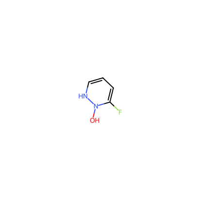 ON1NC=CC=C1F